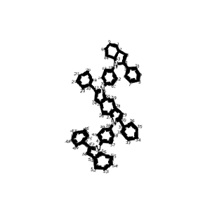 C1=CC2C=C(c3ccccc3)N(c3ccc(-n4c(-c5ccccc5)cc5cc6c(cc(-c7ccccc7)n6-c6ccc(-n7c(-c8ccccc8)cc8ccccc87)cc6)cc54)cc3)C2C=C1